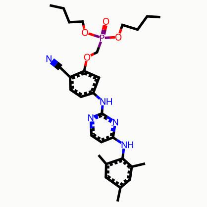 CCCCOP(=O)(COc1cc(Nc2nccc(Nc3c(C)cc(C)cc3C)n2)ccc1C#N)OCCCC